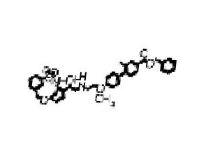 C.Cc1cc(C(=O)OCc2ccccc2)ccc1-c1ccc(OCCNCC(O)c2ccc3cc2NS(=O)(=O)c2cccc(c2)CO3)cc1